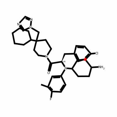 Cc1cc(N(C2CCC(N)CC2)[C@H](Cc2ccc(Cl)cc2)C(=O)N2CCC(Cn3cncn3)(C3CCCCC3)CC2)ccc1F